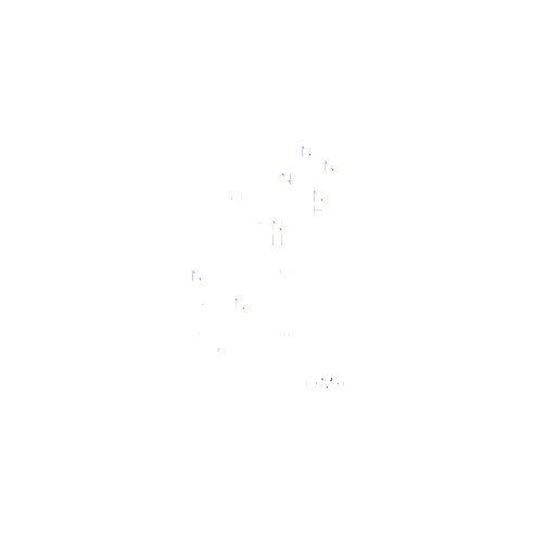 COc1ccc2sc3ncc(C(=O)Nc4nnn[nH]4)c(=O)n3c2c1